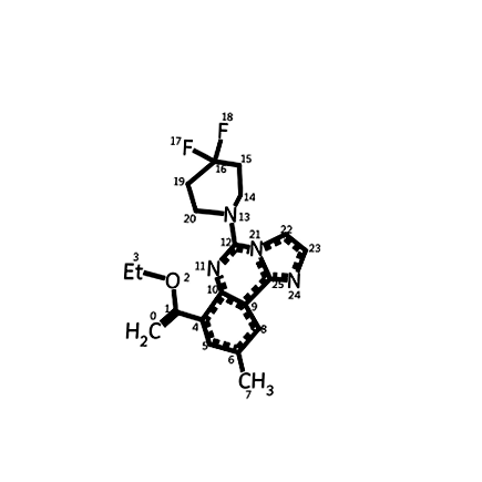 C=C(OCC)c1cc(C)cc2c1nc(N1CCC(F)(F)CC1)n1ccnc21